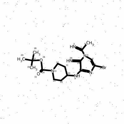 CC(=N)n1cc(Br)nc(NC2CCN(C(=O)OC(C)(C)C)CC2)c1=N